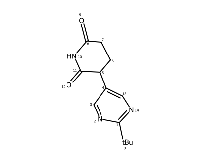 CC(C)(C)c1ncc(C2CCC(=O)NC2=O)cn1